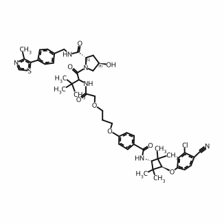 Cc1ncsc1-c1ccc(CNC(=O)[C@@H]2C[C@@H](O)CN2C(=O)C(NC(=O)COCCCOc2ccc(C(=O)N[C@H]3C(C)(C)[C@H](Oc4ccc(C#N)c(Cl)c4)C3(C)C)cc2)C(C)(C)C)cc1